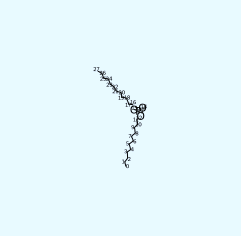 CCCCCCCCCCCCO[P+](=O)OCCCCCCCCCCCC